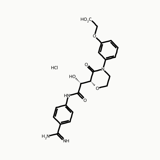 Cl.N=C(N)c1ccc(NC(=O)[C@H](O)[C@H]2OCCN(c3cccc(OCC(=O)O)c3)C2=O)cc1